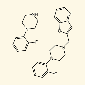 Fc1ccccc1N1CCN(Cc2cc3ncccc3o2)CC1.Fc1ccccc1N1CCNCC1